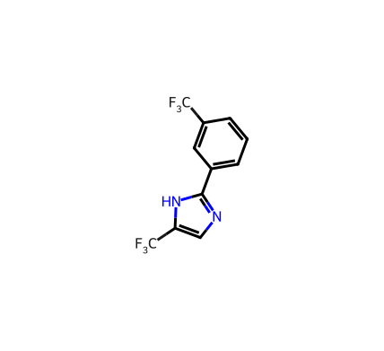 FC(F)(F)c1cccc(-c2ncc(C(F)(F)F)[nH]2)c1